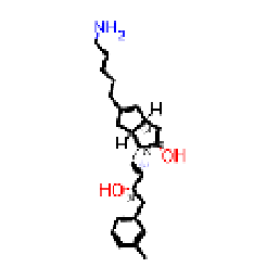 Cc1cccc(C[C@H](O)/C=C/[C@@H]2[C@H]3CC(CCCCCN)=C[C@H]3C[C@H]2O)c1